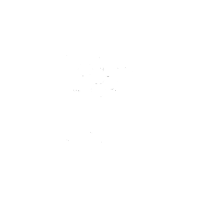 COc1cc2c(Nc3cccc(CO)c3C)c(C(N)=O)cnc2cc1OCCCN(C)CCC#N